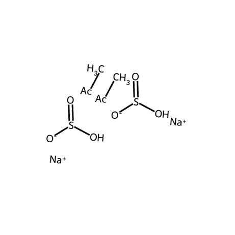 CC(C)=O.CC(C)=O.O=S([O-])O.O=S([O-])O.[Na+].[Na+]